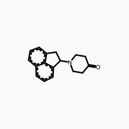 O=C1CCN(C2Cc3cccc4cccc2c34)CC1